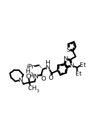 CCC(CC)n1c(Cc2cccs2)nc2cc(C(=O)N[C@@H](CC(C)C)C(=O)NCC(C)(C)CN3CCCCCC3)ccc21